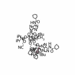 CC(C)N(C(C)C)P(OCCC#N)OC[C@H]1O[C@@H](n2cnc3c(NC(=O)c4ccccc4)ncnc32)[C@H](O[Si](C)(C)C(C)(C)C)[C@@H]1NP(=S)(OCCC#N)OC[C@H]1O[C@@H](n2cnc3c(NC(=O)c4ccccc4)ncnc32)[C@H](O[Si](C)(C)C(C)(C)C)[C@@H]1NC(c1ccccc1)(c1ccccc1)c1ccccc1